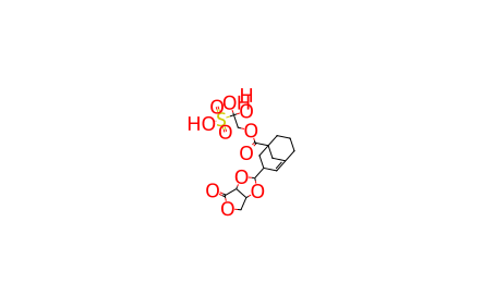 O=C1OCC2OC(C3C=C4CCCC(C(=O)OCC(O)(O)S(=O)(=O)O)(C4)C3)OC12